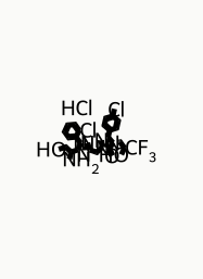 Cl.NC(CO)c1nc(Cn2nc(-c3ccc(Cl)cc3)n(CC(O)C(F)(F)F)c2=O)nn1-c1ccccc1Cl